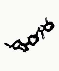 COc1ccn2c(-c3ccc(NC(=O)c4cccc(F)c4C)cc3)cnc2c1